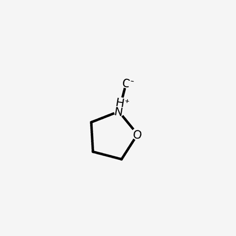 [CH2-][NH+]1CCCO1